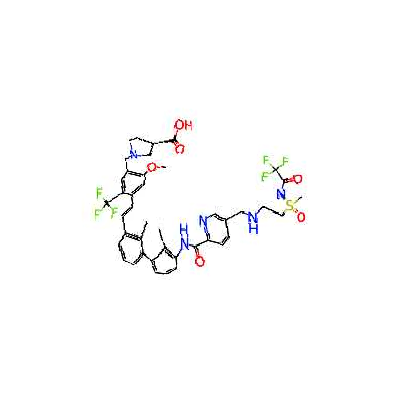 COc1cc(/C=C/c2cccc(-c3cccc(NC(=O)c4ccc(CNCCS(C)(=O)=NC(=O)C(F)(F)F)cn4)c3C)c2C)c(C(F)(F)F)cc1CN1CC[C@@H](C(=O)O)C1